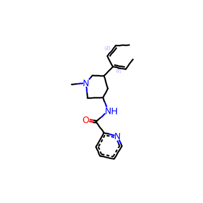 C/C=C\C(=C/C)C1CC(NC(=O)c2ccccn2)CN(C)C1